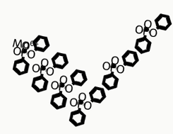 O=P([O-])(Oc1ccccc1)c1ccccc1.O=P([O-])(Oc1ccccc1)c1ccccc1.O=P([O-])(Oc1ccccc1)c1ccccc1.O=P([O-])(Oc1ccccc1)c1ccccc1.O=P([O-])(Oc1ccccc1)c1ccccc1.O=P([O-])(Oc1ccccc1)c1ccccc1.[Mo+6]